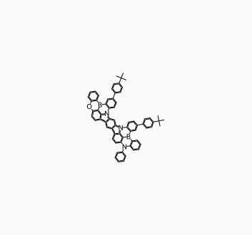 CC(C)(C)c1ccc(-c2ccc3c(c2)B2c4ccccc4Oc4ccc5c6cc7c8ccc9c%10c8n(c7cc6n-3c5c42)-c2ccc(-c3ccc(C(C)(C)C)cc3)cc2B%10c2ccccc2N9c2ccccc2)cc1